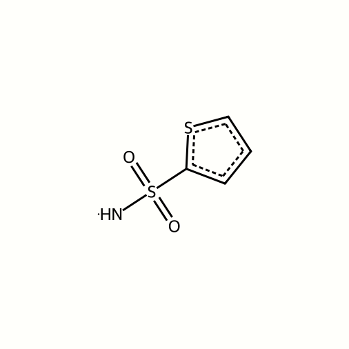 [NH]S(=O)(=O)c1cccs1